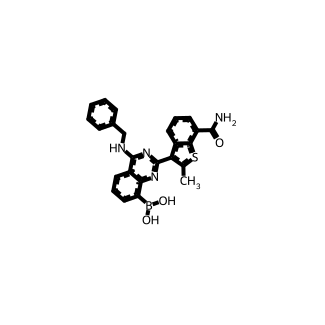 Cc1sc2c(C(N)=O)cccc2c1-c1nc(NCc2ccccc2)c2cccc(B(O)O)c2n1